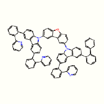 c1ccc(-c2ccccc2-c2ccc3c(c2)c2cc(-c4ccccc4-c4ccccn4)ccc2n3-c2ccc3oc4ccc(-n5c6ccc(-c7ccccc7-c7ccccn7)cc6c6cc(-c7ccccc7-c7ccccn7)ccc65)cc4c3c2)cc1